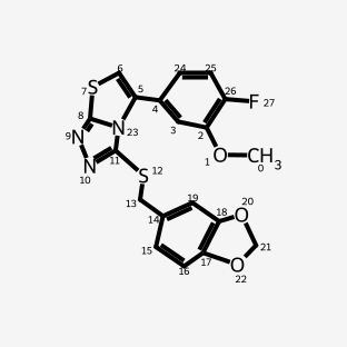 COc1cc(-c2csc3nnc(SCc4ccc5c(c4)OCO5)n23)ccc1F